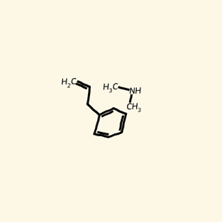 C=CCc1ccccc1.CNC